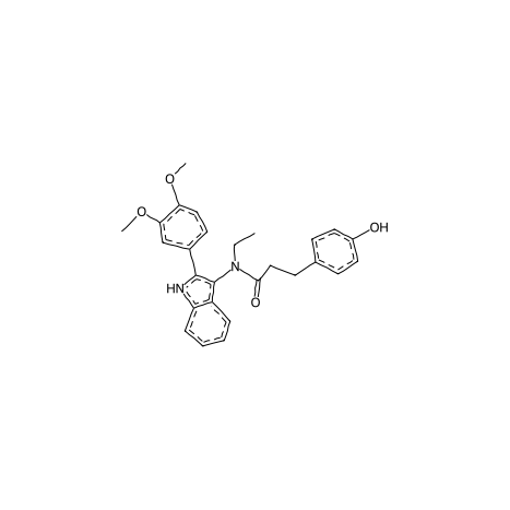 CCN(C(=O)CCc1ccc(O)cc1)c1c(-c2ccc(OC)c(OC)c2)[nH]c2ccccc12